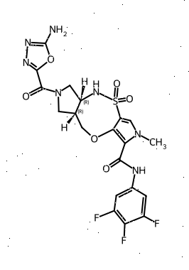 Cn1cc2c(c1C(=O)Nc1cc(F)c(F)c(F)c1)OC[C@@H]1CN(C(=O)c3nnc(N)o3)C[C@@H]1NS2(=O)=O